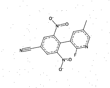 Cc1cnc(F)c(-c2c([N+](=O)[O-])cc(C#N)cc2[N+](=O)[O-])c1